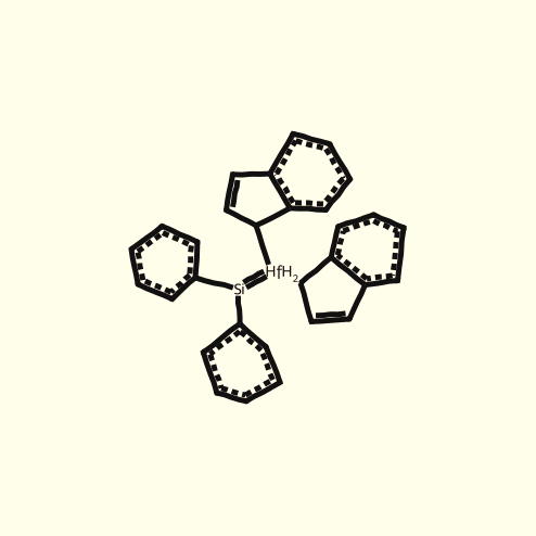 C1=C[CH]([HfH2]([CH]2C=Cc3ccccc32)=[Si](c2ccccc2)c2ccccc2)c2ccccc21